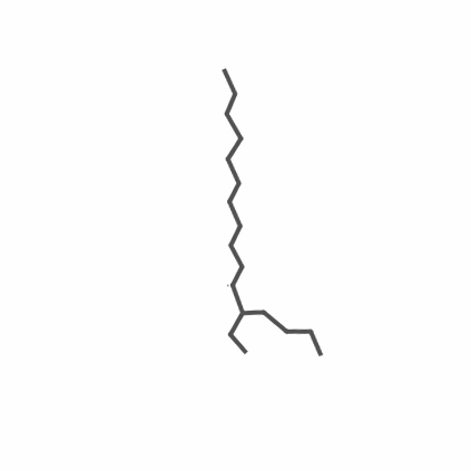 CCCCCCCCCC[CH]C(CC)CCCC